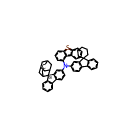 c1ccc2c(c1)-c1ccc(N(c3ccc4c(c3)[C@@]3(c5ccccc5-4)C4CCC5CC(C4)CC3C5)c3cccc4sc5ccccc5c34)cc1C21CCCCC1